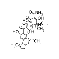 CCN1CC2CCN(C)C2c2cc(O)c3c(c21)C[C@@H]1C[C@@H]2[C@@H](N(C)C)C(O)=C(C(N)=O)C(=O)[C@@]2(O)C(O)=C1C3=O